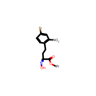 CC(C)OC(=O)/C(CCc1ccc(Br)cc1[N+](=O)[O-])=N\O